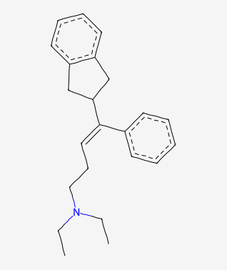 CCN(CC)CCC=C(c1ccccc1)C1Cc2ccccc2C1